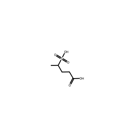 CC(CCC(=O)O)S(=O)(=O)O